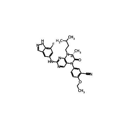 CCOc1ccc(N2C(=O)[C@@H](C)N(CCC(C)C)c3nc(Nc4cc(F)c5[nH]ncc5c4)ncc32)cc1C#N